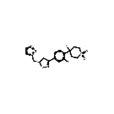 O=S1(=O)CCC(F)(c2ccc(C3=NO[C@@H](Cn4ccnn4)C3)cc2F)CC1